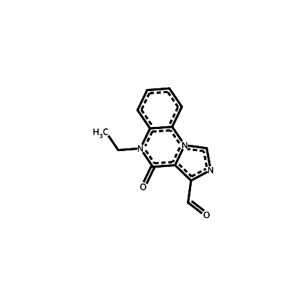 CCn1c(=O)c2c(C=O)ncn2c2ccccc21